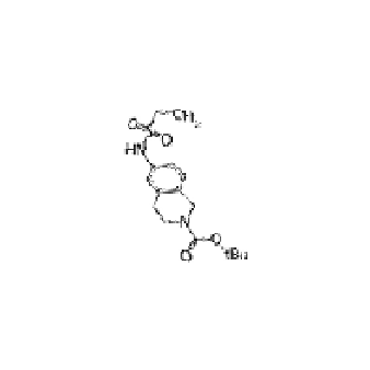 C=CS(=O)(=O)Nc1ccc2c(c1)CCN(C(=O)OC(C)(C)C)C2